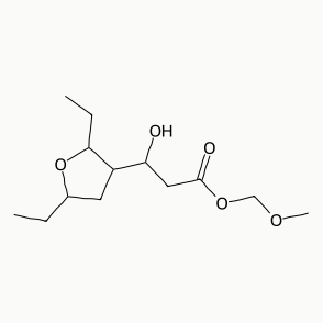 CCC1CC(C(O)CC(=O)OCOC)C(CC)O1